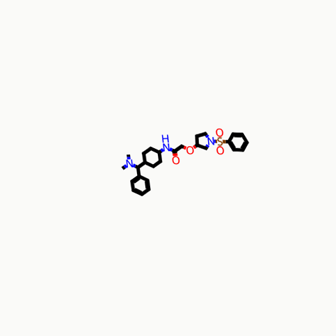 CN(C)C(c1ccccc1)C1CCC(NC(=O)COC2CCN(S(=O)(=O)c3ccccc3)C2)CC1